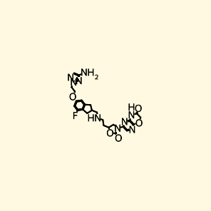 Nc1cnn(CCOc2cc(F)c3c(c2)CC(CNCCC2CN(c4cnc5c(n4)NC(=O)CO5)C(=O)O2)C3)n1